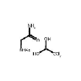 CC(=O)NCC(N)=O.OC(O)C(Cl)(Cl)Cl